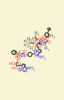 CCOC(=O)[C@H](C)NP(=O)(Oc1ccc(C23CC(C2)C3)cc1)OC1[C@H]2O[C@@](C)(c3ccc4c(N)nc(C5CCC(OC(=O)[C@H](C)NP(=O)(OC[C@H]6O[C@@](C#N)(c7ccc8c(N)ncnn78)[C@H](O)[C@@H]6O)Oc6ccccc6)CC5)nn34)[C@H](OC(=O)C(C)C)[C@@]12OC(=O)C(C)C